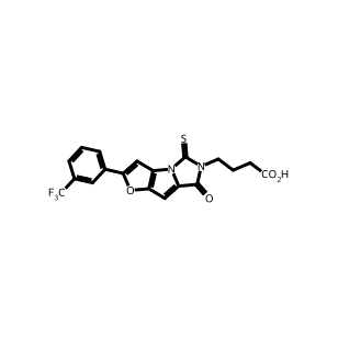 O=C(O)CCCN1C(=O)c2cc3oc(-c4cccc(C(F)(F)F)c4)cc3n2C1=S